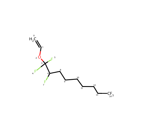 C=COC(F)(F)C(F)CCCCCCC(F)(F)F